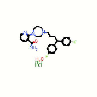 Cl.Cl.NC(=O)c1cccnc1N1CCCN(CCCC(c2ccc(F)cc2)c2ccc(F)cc2)CC1.O